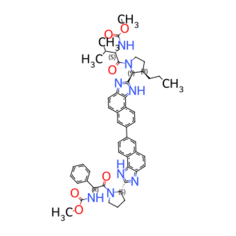 CCC[C@@H]1CCN(C(=O)[C@@H](NC(=O)OC)C(C)C)[C@@H]1c1nc2ccc3cc(-c4ccc5c(ccc6nc([C@@H]7CCCN7C(=O)[C@H](NC(=O)OC)c7ccccc7)[nH]c65)c4)ccc3c2[nH]1